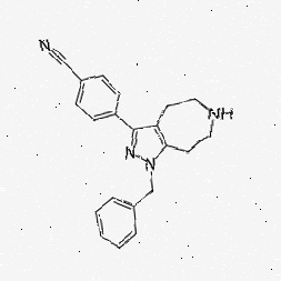 N#Cc1ccc(-c2nn(Cc3ccccc3)c3c2CCNCC3)cc1